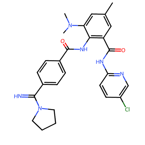 Cc1cc(C(=O)Nc2ccc(Cl)cn2)c(NC(=O)c2ccc(C(=N)N3CCCC3)cc2)c(N(C)C)c1